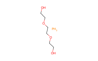 OCCOCCOCCO.P